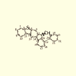 Cn1c2cc3sc4ccccc4c3cc2c2cccc(-c3ccccc3)c21